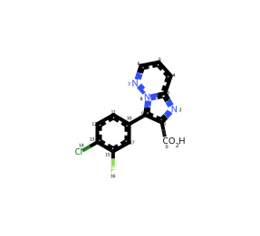 O=C(O)c1nc2cccnn2c1-c1ccc(Cl)c(F)c1